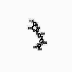 CC1CO[C@@H]2O[C@@H]3COC(OC4CO[C@H](O[C@@H]5COC(O[C@@H]6CO[C@H](O)[C@H](O)C6)C(O)C5)C(O)C4)C(C3)OCC(O)CC2C1